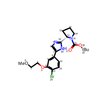 COCCOc1cc(-c2cnc([C@@H]3CCCN3C(=O)OC(C)(C)C)[nH]2)ccc1Br